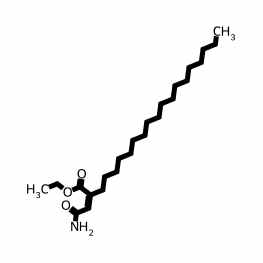 CCCCCCCCCCCCCCCCCCC(=CC(N)=O)C(=O)OCC